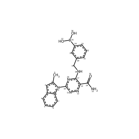 Cc1cc2ccccc2n1-c1nnc(C(N)=O)c(NCc2cccc(B(O)O)c2)n1